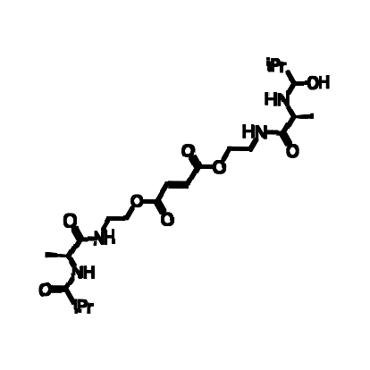 CC(C)C(=O)N[C@@H](C)C(=O)NCCOC(=O)/C=C/C(=O)OCCNC(=O)[C@H](C)NC(O)C(C)C